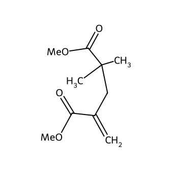 C=C(CC(C)(C)C(=O)OC)C(=O)OC